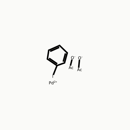 CC(=O)[O-].CC(=O)[O-].Ic1ccccc1.[Pd+2]